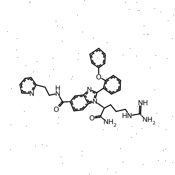 N=C(N)NCCCC(C(N)=O)n1c(-c2ccccc2Oc2ccccc2)nc2cc(C(=O)NCCc3ccccn3)ccc21